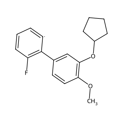 COc1ccc(-c2[c]cccc2F)cc1OC1CCCC1